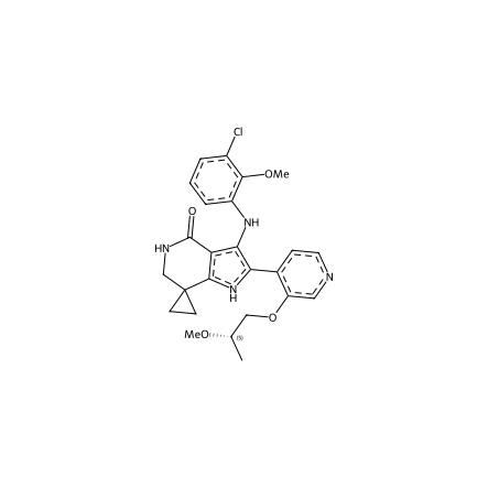 COc1c(Cl)cccc1Nc1c(-c2ccncc2OC[C@H](C)OC)[nH]c2c1C(=O)NCC21CC1